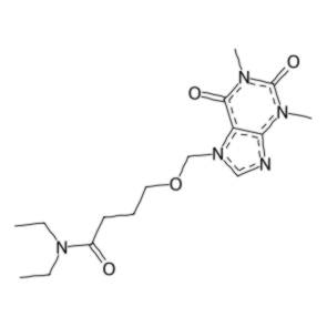 CCN(CC)C(=O)CCCOCn1cnc2c1c(=O)n(C)c(=O)n2C